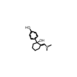 CN(C)C=C1CCCC[C@]1(O)c1ccc(O)cc1